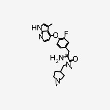 Cc1c[nH]c2nccc(Oc3ccc(C[C@H](N)C(=O)N(C)CC4CCN(C)CC4)cc3F)c12